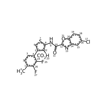 Cc1ccc(-c2csc(NC(=O)c3nc4cc(Cl)ccc4o3)c2C(=O)O)c(F)c1F